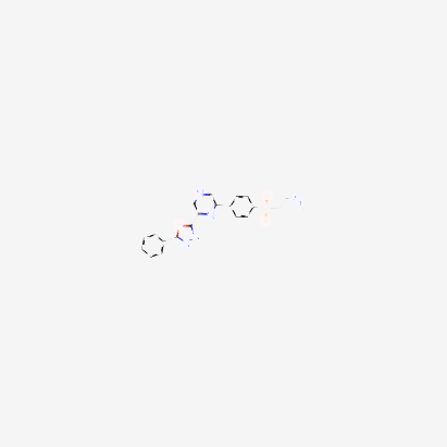 CN(C)CCS(=O)(=O)c1ccc(-c2cncc(-c3nnc(-c4ccccc4)o3)n2)cc1